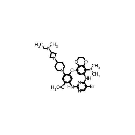 CCN(C)C1CN(C2CCN(c3cc(OC)c(Nc4ncc(Br)c(Nc5ccc6c(c5P(C)C)OCCO6)n4)cc3C)CC2)C1